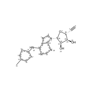 C#C[C@H]1O[C@@H](n2cnc3c(Nc4ccc(C)cc4)ncnc32)[C@H](O)[C@@H]1O